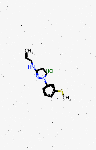 C=CCNC1=NN(c2cccc(SC)c2)CC1.Cl